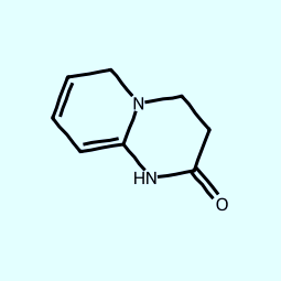 O=C1CCN2CC=CC=C2N1